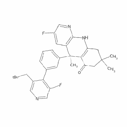 CC(C)(C)Cc1cncc(F)c1-c1cccc([C@]2(C)C3=C(CC(C)(C)CC3=O)Nc3ncc(F)cc32)c1